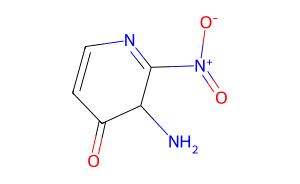 NC1C(=O)C=CN=C1[N+](=O)[O-]